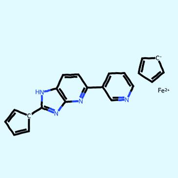 [Fe+2].c1cc[cH-]c1.c1cncc(-c2ccc3[nH]c(-[c-]4cccc4)nc3n2)c1